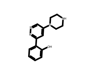 Oc1ccccc1-c1cc(N2CCNCC2)cnn1